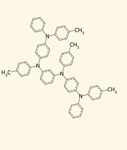 Cc1ccc(N(c2ccccc2)c2ccc(N(c3ccc(C)cc3)c3cccc(N(c4ccc(C)cc4)c4ccc(N(c5ccccc5)c5ccc(C)cc5)cc4)c3)cc2)cc1